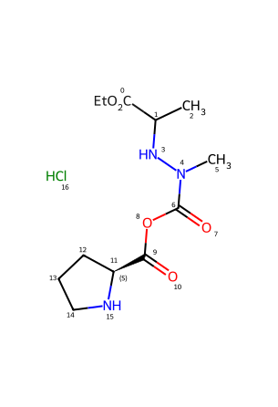 CCOC(=O)C(C)NN(C)C(=O)OC(=O)[C@@H]1CCCN1.Cl